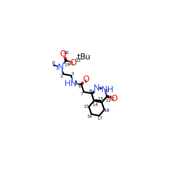 CN(CCNC(=O)Cc1n[nH]c(=O)c2c1CCCC2)C(=O)OC(C)(C)C